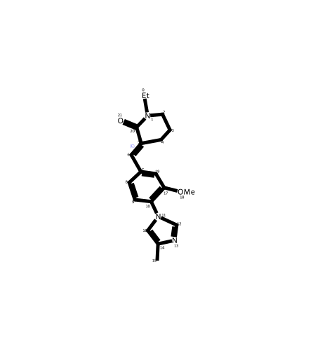 CCN1CCC/C(=C\c2ccc(-n3cnc(C)c3)c(OC)c2)C1=O